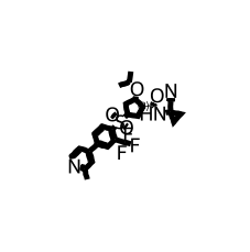 Cc1cc(-c2ccc(S(=O)(=O)C3CC(OC(C)C)[C@H](C(=O)NC4(C#N)CC4)C3)c(C(F)(F)F)c2)ccn1